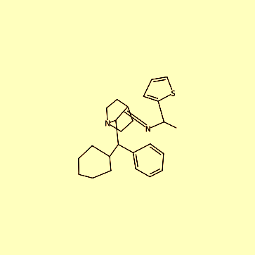 CC(N=C1C2CCN(CC2)C1C(c1ccccc1)C1CCCCC1)c1cccs1